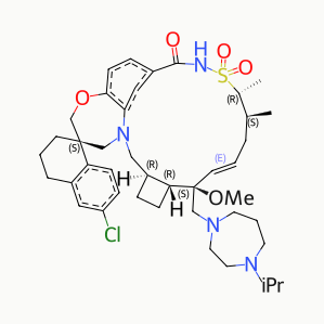 CO[C@]1(CN2CCCN(C(C)C)CC2)/C=C/C[C@H](C)[C@@H](C)S(=O)(=O)NC(=O)c2ccc3c(c2)N(C[C@@H]2CC[C@H]21)C[C@@]1(CCCc2cc(Cl)ccc21)CO3